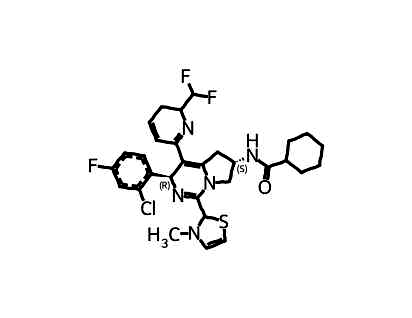 CN1C=CSC1C1=N[C@@H](c2ccc(F)cc2Cl)C(C2=NC(C(F)F)CC=C2)=C2C[C@H](NC(=O)C3CCCCC3)CN12